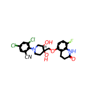 N#Cc1cc(Cl)cc(Cl)c1N1CC[C@@](O)(COc2ccc(F)c3c2CCC(=O)N3)[C@H](O)C1